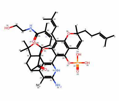 CC(C)=CCCC1(C)C=Cc2c(c(CC=C(C)C)c3c(c2OP(=O)(O)O)C2=C4C(C(C#N)=C(N)N2)C2CC5C(C)(C)OC(C/C=C(/C)C(=O)NCCO)(C2=O)C45O3)O1